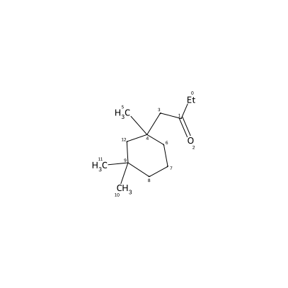 CCC(=O)CC1(C)CCCC(C)(C)C1